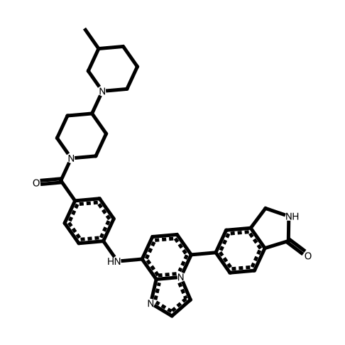 CC1CCCN(C2CCN(C(=O)c3ccc(Nc4ccc(-c5ccc6c(c5)CNC6=O)n5ccnc45)cc3)CC2)C1